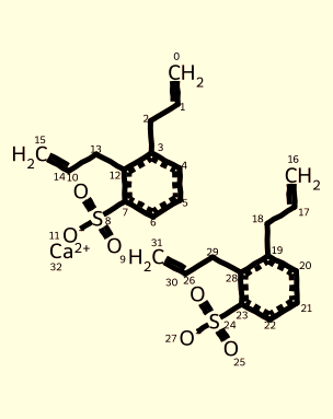 C=CCc1cccc(S(=O)(=O)[O-])c1CC=C.C=CCc1cccc(S(=O)(=O)[O-])c1CC=C.[Ca+2]